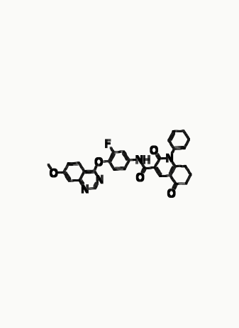 COc1ccc2c(Oc3ccc(NC(=O)c4cc5c(n(C6=CCCC=C6)c4=O)CCCC5=O)cc3F)ncnc2c1